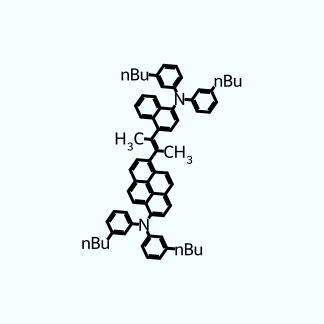 CCCCc1cccc(N(c2cccc(CCCC)c2)c2ccc(/C(C)=C(\C)c3ccc4ccc5c(N(c6cccc(CCCC)c6)c6cccc(CCCC)c6)ccc6ccc3c4c65)c3ccccc23)c1